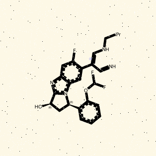 CC(C)CN/C=C(\C=N)c1cc2c(cc1F)nc1n2[C@@H](c2ccccc2OC(F)F)C[C@H]1O